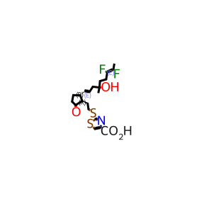 C/C(F)=C(\F)CCC(C)(O)C/C=C/[C@H]1CCC(=O)[C@@H]1CCSc1nc(C(=O)O)cs1